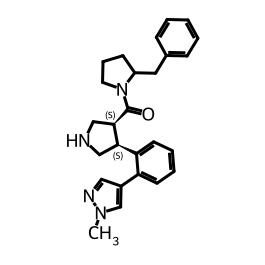 Cn1cc(-c2ccccc2[C@H]2CNC[C@H]2C(=O)N2CCCC2Cc2ccccc2)cn1